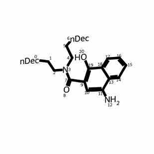 CCCCCCCCCCCCN(CCCCCCCCCCCC)C(=O)c1cc(N)c2ccccc2c1O